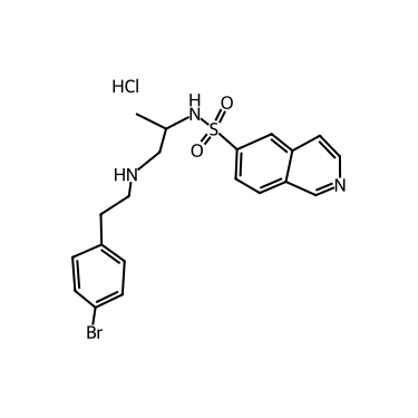 CC(CNCCc1ccc(Br)cc1)NS(=O)(=O)c1ccc2cnccc2c1.Cl